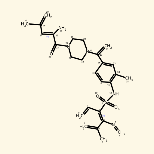 C=C/C(=C(/N=C)C(=C)C)S(=O)(=O)Nc1ccc(C(=C)N2CCN(C(=O)/C(N)=C/C(=C)C)CC2)cc1C